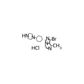 Cc1nccn2c1c(Br)nc2[C@H]1CC[C@H](N2CCNCC2)CC1.Cl